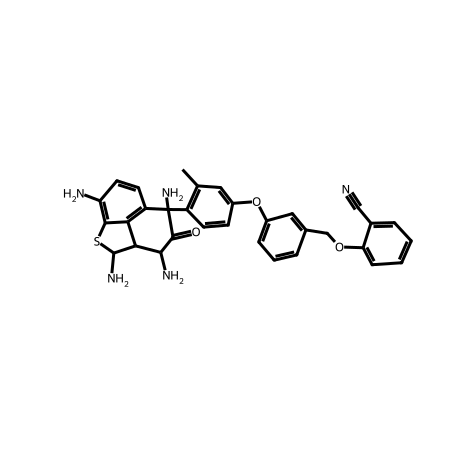 Cc1cc(Oc2cccc(COc3ccccc3C#N)c2)ccc1C1(N)C(=O)C(N)C2c3c1ccc(N)c3SC2N